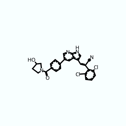 N#C/C(=C\c1c[nH]c2ncc(-c3ccc(C(=O)N4CCC(O)C4)cc3)cc12)c1c(Cl)cccc1Cl